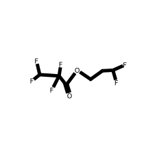 O=C(OCCC(F)F)C(F)(F)C(F)F